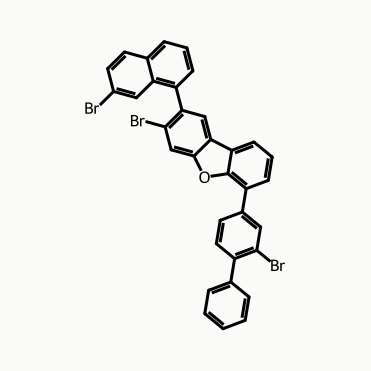 Brc1ccc2cccc(-c3cc4c(cc3Br)oc3c(-c5ccc(-c6ccccc6)c(Br)c5)cccc34)c2c1